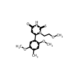 COCCn1c(-c2cc(OC)c(C)cc2OC)cc(=O)[nH]c1=S